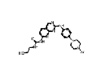 CC(=O)N1CCN(c2ccc(Nc3ncc4ccc(NC(=O)NCCO)nc4n3)cc2)CC1